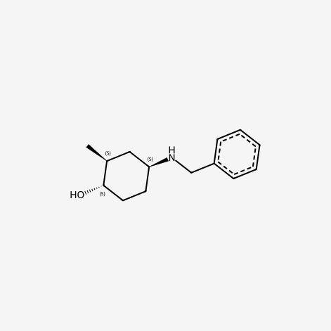 C[C@H]1C[C@@H](NCc2ccccc2)CC[C@@H]1O